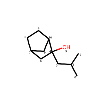 CC(C)CC1(O)CC2CCC1C2